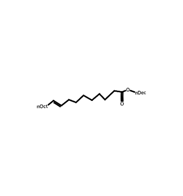 CCCCCCCC/C=C/CCCCCCCC(=O)OCCCCCCCCCC